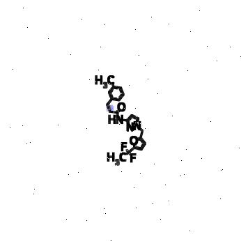 Cc1cccc(/C=C\C(=O)Nc2ccn(Cc3ccc(C(C)(F)F)o3)n2)c1